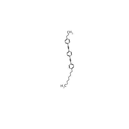 CCCCCCCCc1ccc(C#Cc2ccc(C#Cc3ccc(CCC)cc3)cc2)cc1